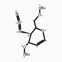 CCCCOCC1OC=C[C@@H](OCCCC)[C@H]1N=[N+]=[N-]